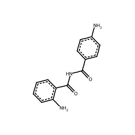 Nc1ccc(C(=O)NC(=O)c2ccccc2N)cc1